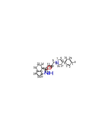 Cc1ccc(C2=CCN(CCCCC34CCCc5cccc(c53)NC4=O)CC2)cc1